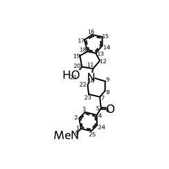 CNc1ccc(C(=O)C2CCN(C3Cc4ccccc4CC3O)CC2)cc1